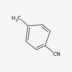 Cc1[c]cc(C#N)cc1